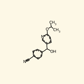 CC(C)Oc1ccc(C(O)c2ccc(C#N)cc2)cn1